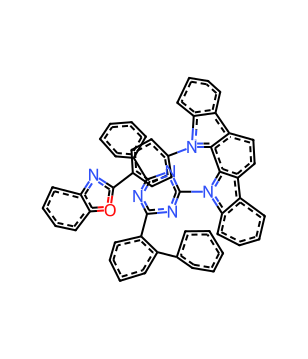 c1ccc(-c2nc(-c3ccccc3-c3ccccc3)nc(-n3c4ccccc4c4ccc5c6ccccc6n(-c6ccc(-c7nc8ccccc8o7)cc6)c5c43)n2)cc1